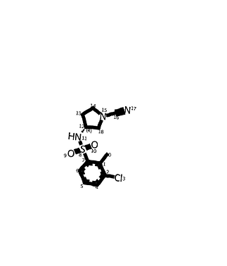 Cc1c(Cl)cccc1S(=O)(=O)N[C@@H]1CCN(C#N)C1